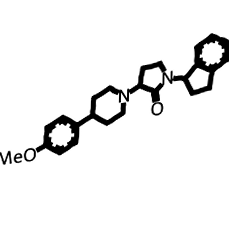 COc1ccc(C2CCN(C3CCN(C4CCc5ccccc54)C3=O)CC2)cc1